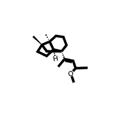 COC(C)/C=C(\C)[C@@]12CCC[C@@]3(C)[C@@H]1CC[C@@]3(C)C2